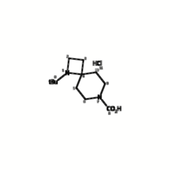 CC(C)(C)N1CCC12CCN(C(=O)O)CC2.Cl